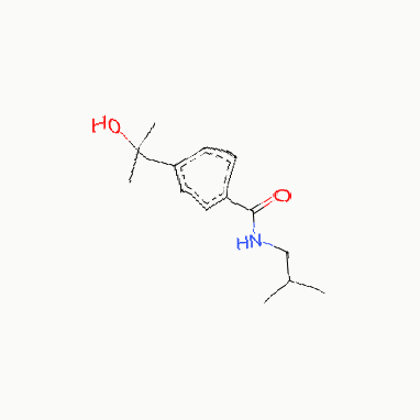 CC(C)CNC(=O)c1ccc(C(C)(C)O)cc1